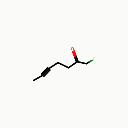 CC#CCCC(=O)CF